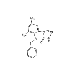 O=c1[nH]ncn1-c1cc(C(F)(F)F)cc(C(F)(F)F)c1OCc1ccccc1